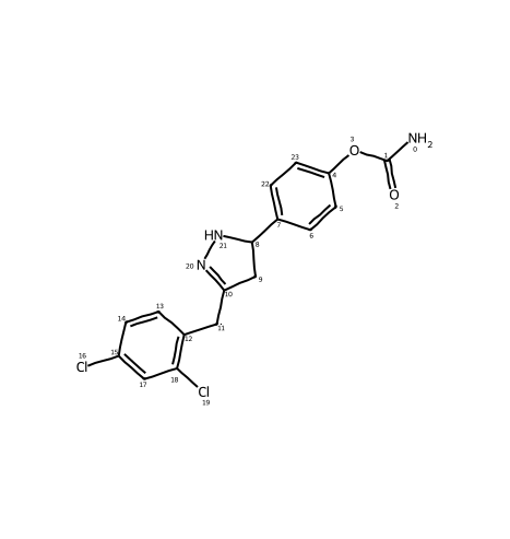 NC(=O)Oc1ccc(C2CC([CH]c3ccc(Cl)cc3Cl)=NN2)cc1